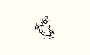 Cn1cnc(C2CC3CC(O)(C#CC(C)(O)c4cc(C(F)F)nn4C)CC3C2)c1C(=O)Nc1ccc(F)c(Cl)c1